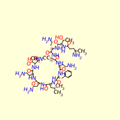 CC(C)C[C@@H]1NC(=O)[C@@H](Cc2ccccc2)NC(=O)[C@H](CCN)NC(=O)[C@@H](NC(=O)[C@H](CCN)NC(=O)[C@@H](NC(=O)CC[C@H](C)N)C(C)O)CCNC(=O)C(C(C)O)NC(=O)[C@H](CCN)NC(=O)[C@H](CCN)NC1=O